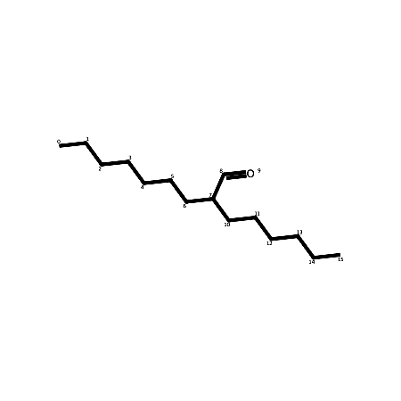 CCCCCCCC(C=O)CCCCCC